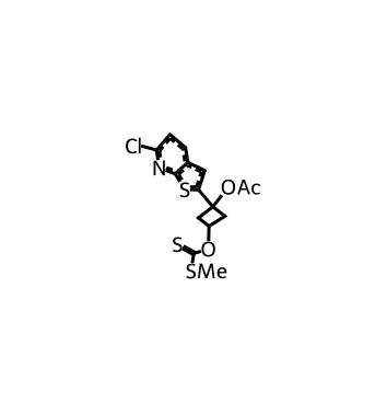 CSC(=S)OC1CC(OC(C)=O)(c2cc3ccc(Cl)nc3s2)C1